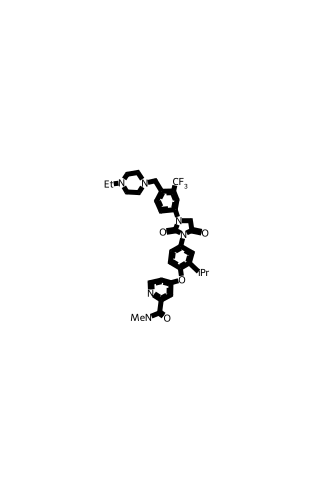 CCN1CCN(Cc2ccc(N3CC(=O)N(c4ccc(Oc5ccnc(C(=O)NC)c5)c(C(C)C)c4)C3=O)cc2C(F)(F)F)CC1